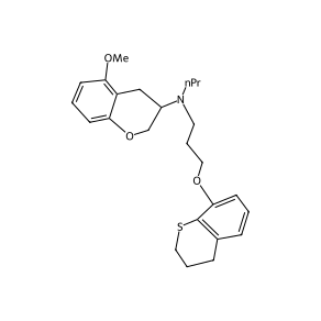 CCCN(CCCOc1cccc2c1SCCC2)C1COc2cccc(OC)c2C1